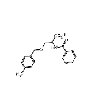 Cc1ccc(CSC[C@H](NC(=O)c2ccccc2)C(=O)O)cc1